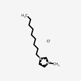 CCCCCCCCCn1cc[n+](C)c1.[Cl-]